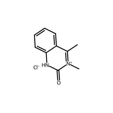 Cc1c2ccccc2[nH]c(=O)[n+]1C.[Cl-]